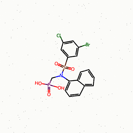 O=P(O)(O)CN(c1cccc2ccccc12)S(=O)(=O)c1cc(Cl)cc(Br)c1